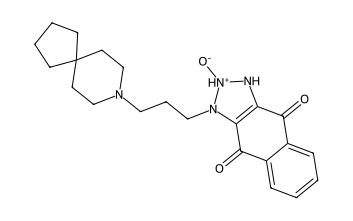 O=C1C2=C(C(=O)c3ccccc31)N(CCCN1CCC3(CCCC3)CC1)[NH+]([O-])N2